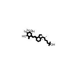 [2H]O[C@]1([2H])CC(=CC=C2CCC[C@@]3(C)C2CC[C@@H]3[C@H](C)CCCC(C)(C)O)C(=C)[C@@H](O)C1[2H]